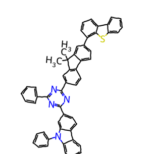 CC1(C)c2cc(-c3nc(-c4ccccc4)nc(-c4ccc5c6ccccc6n(-c6ccccc6)c5c4)n3)ccc2-c2ccc(-c3cccc4c3sc3ccccc34)cc21